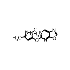 Cc1cc(Oc2ncc3ncoc3n2)n(C)n1